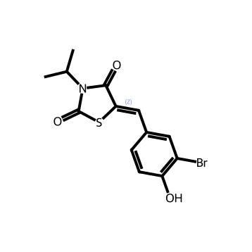 CC(C)N1C(=O)S/C(=C\c2ccc(O)c(Br)c2)C1=O